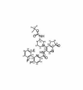 CC(C)(C)OC(=O)N[C@H]1CCCN(c2c(NC(=O)c3ccc(F)c(-c4c(F)cccc4F)n3)cnc3c2CCC3=O)C1